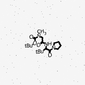 CN(CC(=O)NC(C(=O)N1CCCC1)C(C)(C)C)C(=O)OC(C)(C)C